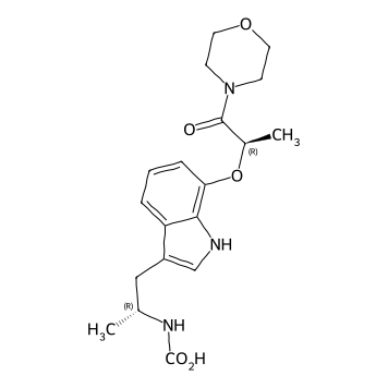 C[C@H](Cc1c[nH]c2c(O[C@H](C)C(=O)N3CCOCC3)cccc12)NC(=O)O